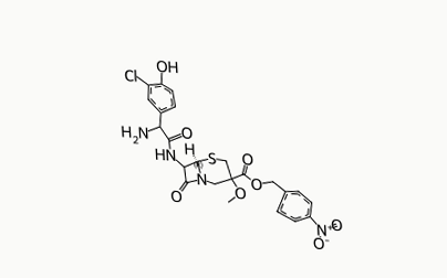 COC1(C(=O)OCc2ccc([N+](=O)[O-])cc2)CS[C@@H]2C(NC(=O)C(N)c3ccc(O)c(Cl)c3)C(=O)N2C1